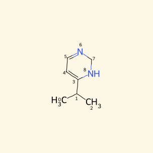 CC(C)C1=CC=NCN1